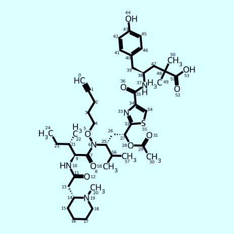 C#CCCCON(C(=O)[C@@H](NC(=O)C[C@H]1CCCCN1C)[C@@H](C)CC)[C@H](C[C@@H](OC(C)=O)c1nc(C(=O)N[C@@H](Cc2ccc(O)cc2)CC(C)(C)C(=O)O)cs1)C(C)C